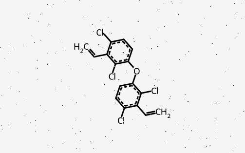 C=Cc1c(Cl)ccc(Oc2ccc(Cl)c(C=C)c2Cl)c1Cl